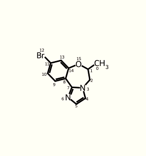 CC1Cn2ccnc2-c2ccc(Br)cc2O1